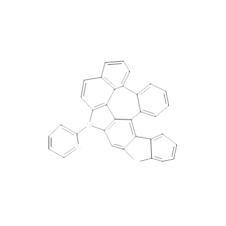 c1ccc(-n2c3cc4oc5ccccc5c4c4c3c3c5c(cccc5ccc32)-c2ccccc2-4)nc1